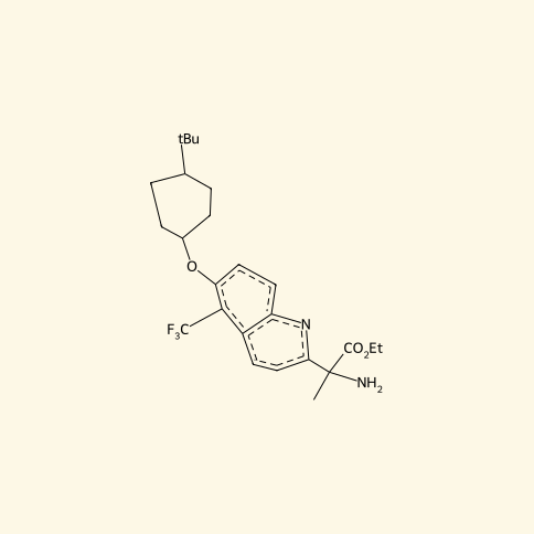 CCOC(=O)C(C)(N)c1ccc2c(C(F)(F)F)c(OC3CCC(C(C)(C)C)CC3)ccc2n1